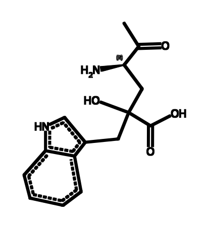 CC(=O)[C@H](N)CC(O)(Cc1c[nH]c2ccccc12)C(=O)O